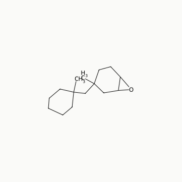 CC1(CC2(C)CCC3OC3C2)CCCCC1